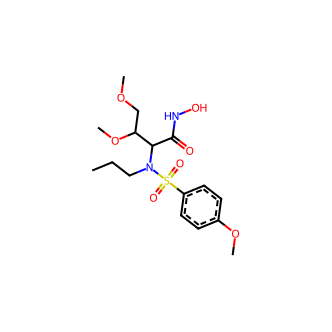 CCCN(C(C(=O)NO)C(COC)OC)S(=O)(=O)c1ccc(OC)cc1